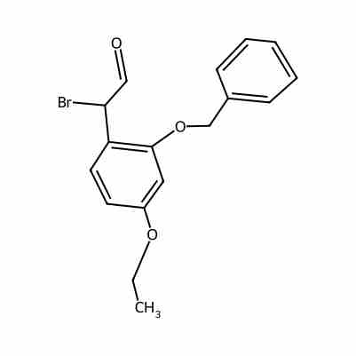 CCOc1ccc(C(Br)C=O)c(OCc2ccccc2)c1